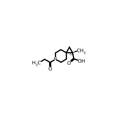 CCC(=O)N1CCC2(CC1)C[C@]2(C)C(=O)O